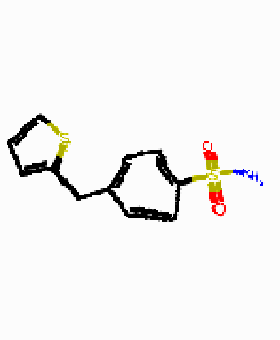 NS(=O)(=O)c1ccc(Cc2cccs2)cc1